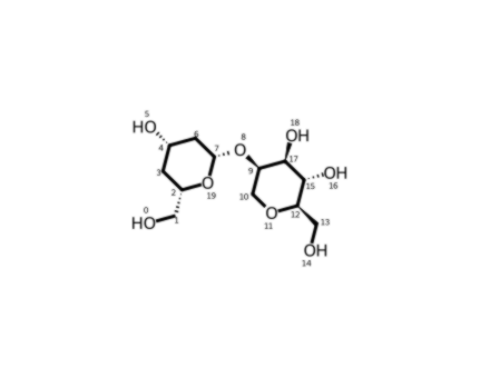 OC[C@@H]1C[C@H](O)C[C@H](O[C@@H]2CO[C@H](CO)[C@@H](O)[C@@H]2O)O1